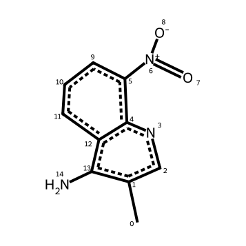 Cc1cnc2c([N+](=O)[O-])cccc2c1N